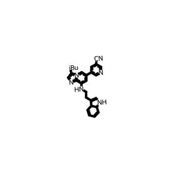 CCC(C)c1cnc2c(NCCC3=CNC4C=CC=CC34)cc(-c3cncc(C#N)c3)cn12